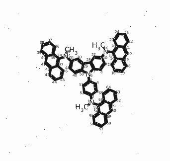 CN(c1ccc(-n2c3ccc(N(C)c4c5ccccc5cc5ccccc45)cc3c3cc(N(C)c4c5ccccc5cc5ccccc45)ccc32)cc1)c1c2ccccc2cc2ccccc12